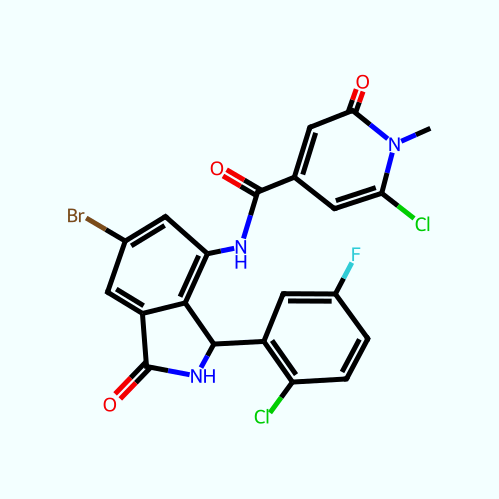 Cn1c(Cl)cc(C(=O)Nc2cc(Br)cc3c2C(c2cc(F)ccc2Cl)NC3=O)cc1=O